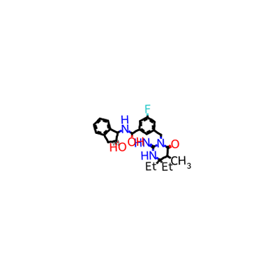 CCC1(CC)NC(=N)N(Cc2cc(F)cc(C(O)NC3c4ccccc4C[C@H]3O)c2)C(=O)C1C